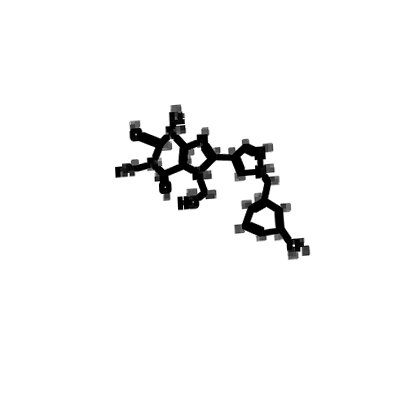 CCCn1c(=O)c2c(nc(-c3cnn(Cc4cccc(C(F)(F)F)c4)c3)n2CO)n(CC)c1=O